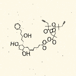 C#CCC(C)(C)C(=O)OCC(C)(COC(=O)C(C)(C)CC#C)C(=O)OCOC(=O)CCC/C=C\C[C@@H]1[C@@H](CC[C@@H](O)CCc2ccccc2)[C@H](O)C[C@@H]1O